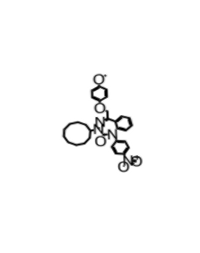 COc1ccc(OCC2=NN(C3CCCCCCCCC3)C(=O)N(c3ccc([N+](=O)[O-])cc3)c3ccccc32)cc1